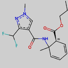 CCCOC(=O)[C@H]1C=CC=CC1(C)NC(=O)c1cn(C)nc1C(F)F